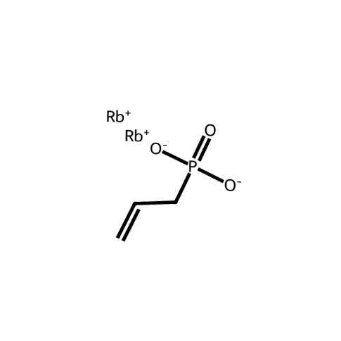 C=CCP(=O)([O-])[O-].[Rb+].[Rb+]